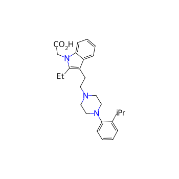 CCc1c(CCN2CCN(c3ccccc3C(C)C)CC2)c2ccccc2n1CC(=O)O